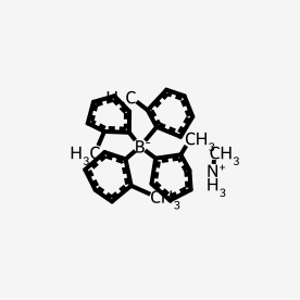 C[NH3+].Cc1ccccc1[B-](c1ccccc1C)(c1ccccc1C)c1ccccc1C